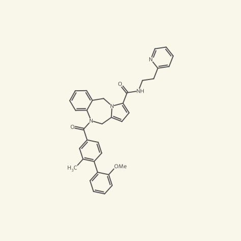 COc1ccccc1-c1ccc(C(=O)N2Cc3ccc(C(=O)NCCc4ccccn4)n3Cc3ccccc32)cc1C